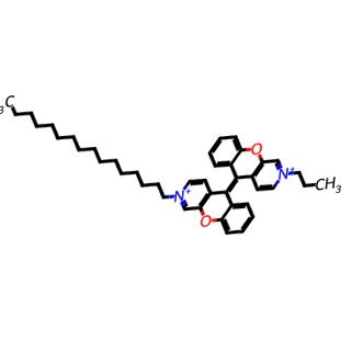 CCCCCCCCCCCCCCCC[n+]1ccc2c(c1)Oc1ccccc1/C2=C1/c2ccccc2Oc2c[n+](CCC)ccc21